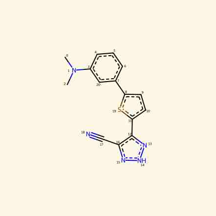 CN(C)c1cccc(-c2ccc(-c3n[nH]nc3C#N)s2)c1